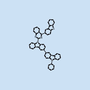 c1ccc(-n2c3ccccc3c3cc(-c4ccc5c(c4)c4ccccc4n5-c4nc(-c5ccc6sc7ccccc7c6c5)c5ccccc5n4)ccc32)cc1